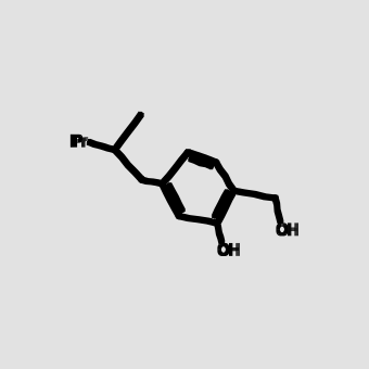 CC(C)C(C)Cc1ccc(CO)c(O)c1